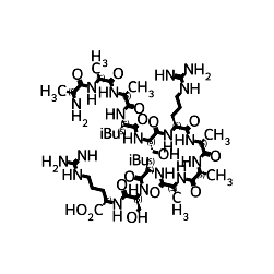 CC[C@H](C)[C@H](NC(=O)[C@H](C)NC(=O)[C@H](C)NC(=O)[C@H](C)NC(=O)[C@H](CCCNC(=N)N)NC(=O)[C@H](CO)NC(=O)[C@@H](NC(=O)[C@H](C)NC(=O)[C@H](C)NC(=O)[C@H](C)N)[C@@H](C)CC)C(=O)N[C@@H](CO)C(=O)N[C@@H](CCCNC(=N)N)C(=O)O